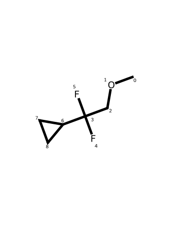 COCC(F)(F)C1CC1